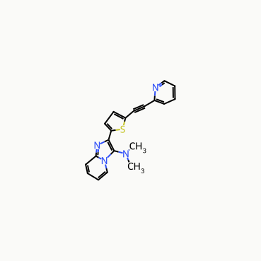 CN(C)c1c(-c2ccc(C#Cc3ccccn3)s2)nc2ccccn12